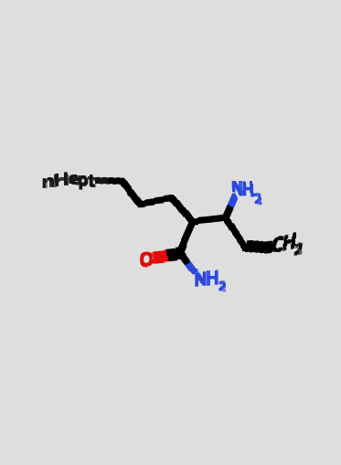 C=CC(N)C(CCCCCCCCCC)C(N)=O